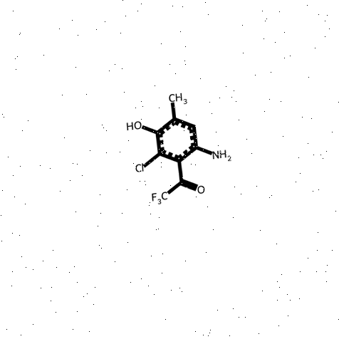 Cc1cc(N)c(C(=O)C(F)(F)F)c(Cl)c1O